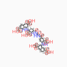 O=C(NC(=O)c1ccc(Nc2cc(S(=O)(=O)O)cc3ccc(S(=O)(=O)O)cc23)c(S(=O)(=O)O)c1)NC(=O)c1ccc(Nc2cc(S(=O)(=O)O)cc3ccc(S(=O)(=O)O)cc23)c(S(=O)(=O)O)c1